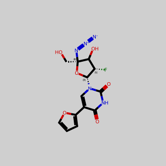 [N-]=[N+]=N[C@]1(CO)O[C@@H](n2cc(-c3ccco3)c(=O)[nH]c2=O)[C@@H](F)C1O